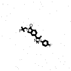 Cc1c(-c2ccc3c(c2)CN(CC(C)(C)F)C3=O)nnn1-c1ccc(F)cc1